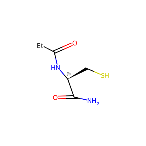 CCC(=O)N[C@@H](CS)C(N)=O